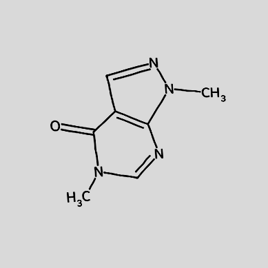 Cn1cnc2c(cnn2C)c1=O